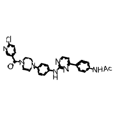 CC(=O)Nc1ccc(-c2ccnc(Nc3ccc(N4CCN(C(=O)c5ccc(Cl)nc5)CC4)cc3)n2)cc1